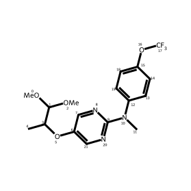 COC(OC)C(C)Oc1cnc(N(C)c2ccc(OC(F)(F)F)cc2)nc1